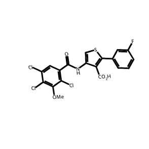 COc1c(Cl)c(Cl)cc(C(=O)Nc2csc(-c3cccc(F)c3)c2C(=O)O)c1Cl